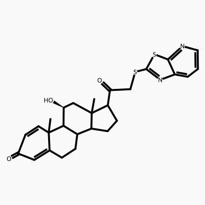 CC12C=CC(=O)C=C1CCC1C2[C@@H](O)CC2(C)C(C(=O)CSc3nc4cccnc4s3)CCC12